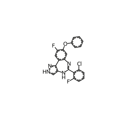 Fc1cc2c(cc1Oc1ccccc1)N=C(c1c(F)cccc1Cl)Nc1c[nH]nc1-2